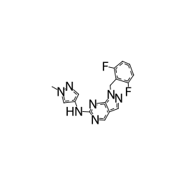 Cn1cc(Nc2ncc3cnn(Cc4c(F)cccc4F)c3n2)cn1